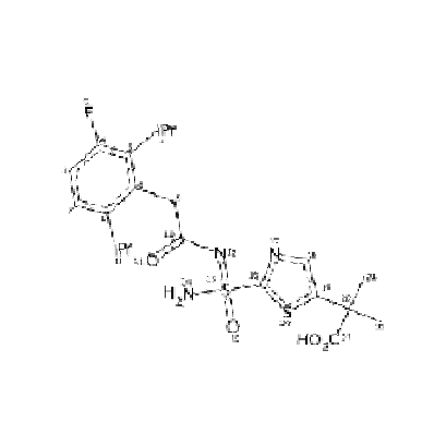 CC(C)c1ccc(F)c(C(C)C)c1CC(=O)N=S(N)(=O)c1ncc(C(C)(C)C(=O)O)s1